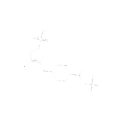 CC(C)(C)OC(=O)N1CCN(Cc2oc(S(N)(=O)=O)cc2C(C)(C)O)CC1